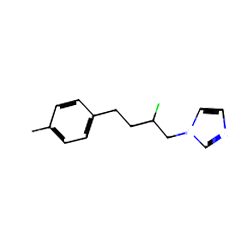 FC(F)(F)c1ccc(CCC(Cl)Cn2ccnc2)cc1